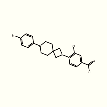 O=C(O)c1ccc(N2CC3(CCN(c4ccc(Br)cc4)CC3)C2)c(Cl)c1